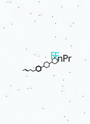 C/C=C/CCc1ccc(C2CCC(C3CCC(CCC)C(F)(F)C3)CC2)cc1